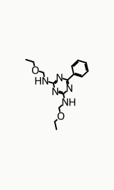 CCOCNc1nc(NCOCC)nc(-c2ccccc2)n1